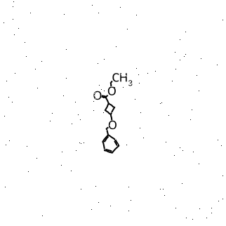 CCOC(=O)C1CC(OCc2ccccc2)C1